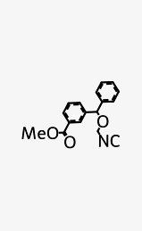 [C-]#[N+]COC(c1ccccc1)c1cccc(C(=O)OC)c1